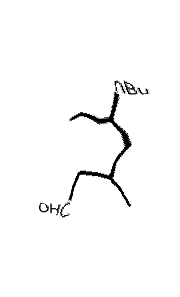 CCCCC(C)CC(C)CC=O